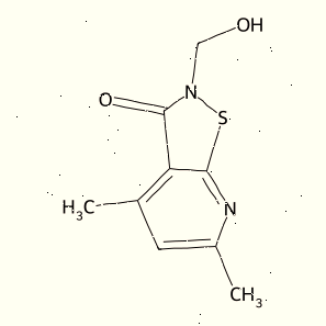 Cc1cc(C)c2c(=O)n(CO)sc2n1